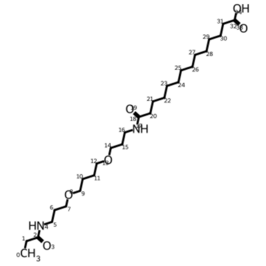 CCC(=O)NCCCOCCCCOCCCNC(=O)CCCCCCCCCCCCC(=O)O